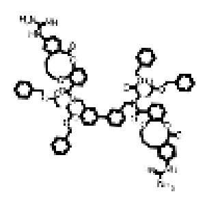 N=C(N)Nc1ccc2c(c1)CCCOc1c(cccc1C(=O)N(Cc1cccc(-c3cccc(CN(C(=O)c4cccc5c4OCCCc4cc(NC(=N)N)ccc4C(=O)O5)[C@@H](CC(=O)OCc4ccccc4)C(=O)OCc4ccccc4)c3)c1)[C@@H](CC(=O)OCc1ccccc1)C(=O)OCc1ccccc1)OC2=O